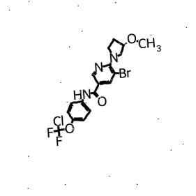 CO[C@H]1CCN(c2ncc(C(=O)Nc3ccc(OC(F)(F)Cl)cc3)cc2Br)C1